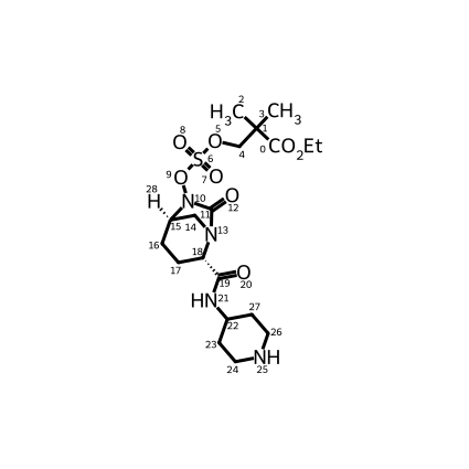 CCOC(=O)C(C)(C)COS(=O)(=O)ON1C(=O)N2C[C@H]1CC[C@H]2C(=O)NC1CCNCC1